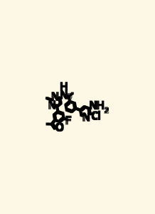 Cc1nc(N[C@@H](C)c2cccc(-c3cnc(Cl)c(N)c3)c2)cc(-c2cc(F)c3occ(C)c3c2)n1